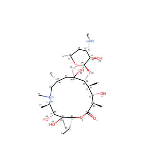 CC[C@H]1OC(=O)[C@H](C)[C@@H](O)[C@H](C)[C@@H](O[C@H]2O[C@H](C)C[C@H](NC)[C@H]2O)[C@](C)(O)C[C@@H](C)CN(C)[C@H](C)[C@@H](O)[C@]1(C)O